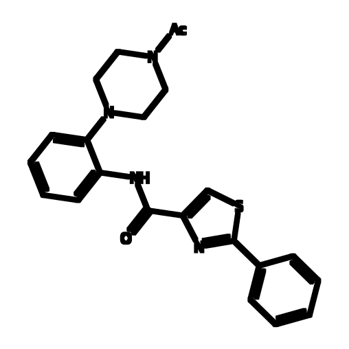 CC(=O)N1CCN(c2ccccc2NC(=O)c2csc(-c3ccccc3)n2)CC1